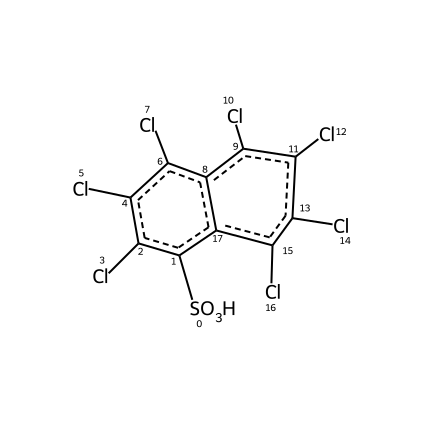 O=S(=O)(O)c1c(Cl)c(Cl)c(Cl)c2c(Cl)c(Cl)c(Cl)c(Cl)c12